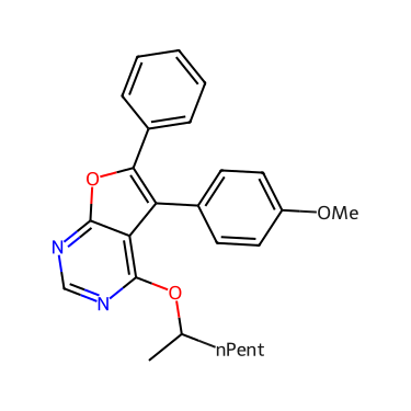 CCCCCC(C)Oc1ncnc2oc(-c3ccccc3)c(-c3ccc(OC)cc3)c12